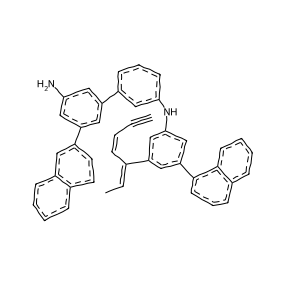 C#C/C=C\C(=C/C)c1cc(Nc2cccc(-c3cc(N)cc(-c4ccc5ccccc5c4)c3)c2)cc(-c2cccc3ccccc23)c1